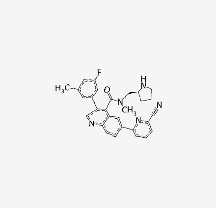 Cc1cc(F)cc(-c2cnc3ccc(-c4cccc(C#N)n4)cc3c2C(=O)N(C)C[C@@H]2CCCN2)c1